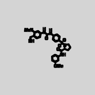 CNc1cc(NC(=O)Nc2ccc(S(=O)(=O)N3CCC[C@H]3C(=O)Nc3cccc(OC)c3)cc2)ccc1C=N